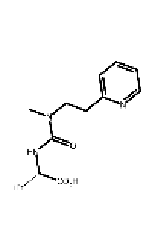 CC(C)[C@H](NC(=O)N(C)CCc1ccccn1)C(=O)O